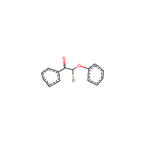 O=C(c1ccccc1)C(Br)Oc1ccccc1